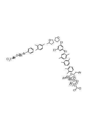 C1CCOC1.CC(C)Br.CC(C)CCOCCC(C)C.CC(C)OC(C)C.CC1CCCO1.CCCCCCCl.CCCCCl.CCOCC.CCc1cc(CC)cc(CC)c1.Cc1ccc(C)c(C)c1.Cc1ccc(C)cc1.Cc1cccc(C)c1.Cc1ccccc1.Cc1ccccc1C.ClC(Cl)(Cl)Br.ClC(Cl)(Cl)Cl.ClC(Cl)Cl